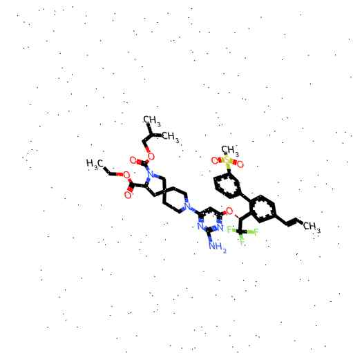 CC=Cc1ccc(-c2cccc(S(C)(=O)=O)c2)c([C@@H](Oc2cc(N3CCC4(CC3)CC(C(=O)OCC)N(C(=O)OCC(C)C)C4)nc(N)n2)C(F)(F)F)c1